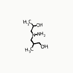 CC(O)CN(N)CC(C)CO